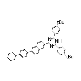 CC(C)(C)c1ccc(C2=NC(c3ccc4cc(-c5ccc(C6CCCCC6)cc5)ccc4c3)=NC(c3ccc(C(C)(C)C)cc3)N2)cc1